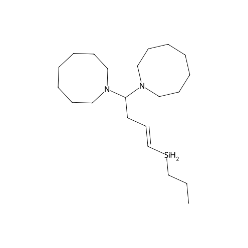 CCC[SiH2]C=CCC(N1CCCCCCC1)N1CCCCCCC1